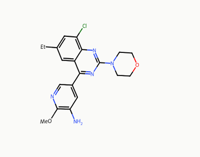 CCc1cc(Cl)c2nc(N3CCOCC3)nc(-c3cnc(OC)c(N)c3)c2c1